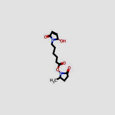 CC1CCC(=O)N1OC(=O)CCCCCN1C(=O)C=C[C@@H]1O